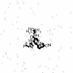 CC(C)(O)C(F)CNC(=O)c1cnc(-c2ccc3cc(C#N)cnn23)cc1Nc1cnn(CC(F)F)c1